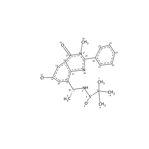 C[C@@H](N[S+]([O-])C(C)(C)C)c1cc(Cl)cc2c(=O)n(C)c(-c3ccccc3)nc12